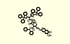 O=C(OC(c1ccccc1)c1ccccc1)C1=C(/C=C/Cn2cc3cc(O)c(=O)cc-3cn2)CS[C@@H]2C(NC(=O)/C(=N\OC(c3ccccc3)(c3ccccc3)c3ccccc3)c3csc(NC(c4ccccc4)(c4ccccc4)c4ccccc4)n3)C(=O)N12